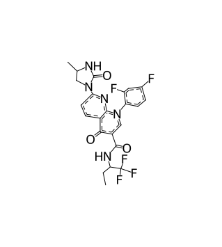 CCC(NC(=O)c1cn(-c2ccc(F)cc2F)c2nc(N3CC(C)NC3=O)ccc2c1=O)C(F)(F)F